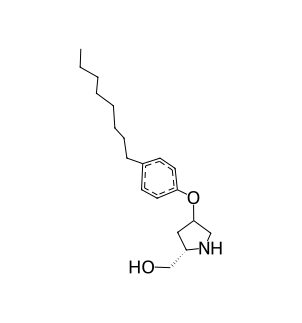 CCCCCCCCc1ccc(OC2CN[C@H](CO)C2)cc1